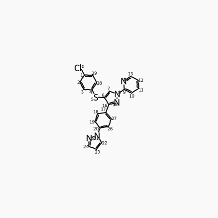 Clc1ccc(Sc2cn(-c3ccccn3)nc2-c2ccc(-n3cccn3)cc2)cc1